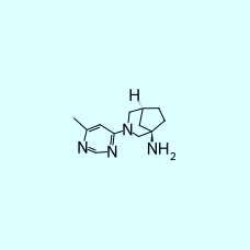 Cc1cc(N2C[C@H]3CC[C@@](N)(C3)C2)ncn1